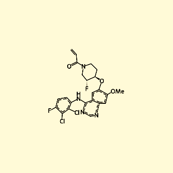 C=CC(=O)N1CC[C@@H](Oc2cc3c(Nc4ccc(F)c(Cl)c4Cl)ncnc3cc2OC)[C@H](F)C1